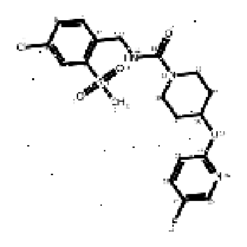 CS(=O)(=O)c1cc(Cl)ccc1CNC(=O)N1CCC(Oc2ccc(F)cn2)CC1